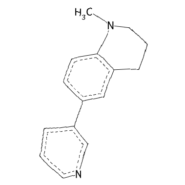 CN1CCCc2cc(-c3cccnc3)ccc21